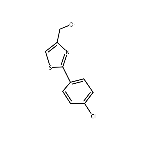 [O]Cc1csc(-c2ccc(Cl)cc2)n1